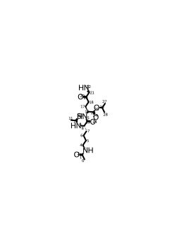 CC(=O)NCCCC[C@H](NC(C)=S)C(=O)N[C@@H](CCC(=O)C=N)C(=O)OC(C)C